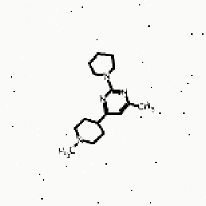 Cc1cc(C2CCN(C)CC2)nc(N2CCCCC2)n1